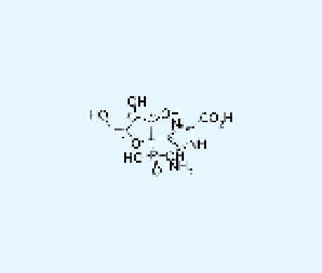 Nc1[nH]c(C(=O)O)nc1C1(P(=O)(O)O)O[C@H](CO)[C@@H](O)[C@H]1O